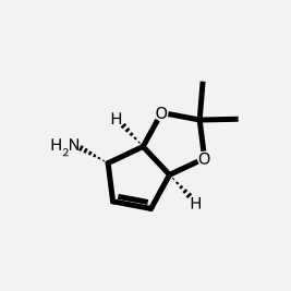 CC1(C)O[C@H]2[C@H](C=C[C@@H]2N)O1